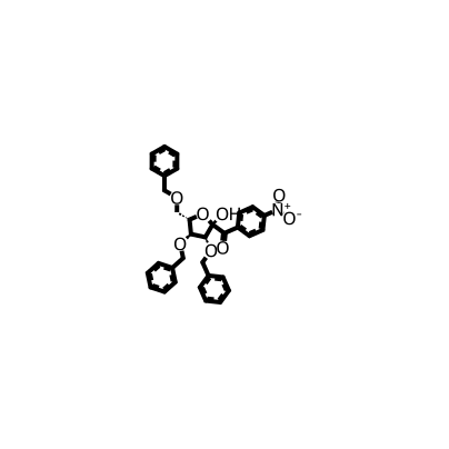 O=C(c1ccc([N+](=O)[O-])cc1)[C@@]1(O)O[C@@H](COCc2ccccc2)[C@H](OCc2ccccc2)[C@H]1OCc1ccccc1